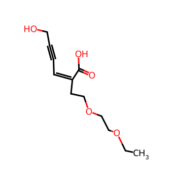 CCOCCOCCC(=CC#CCO)C(=O)O